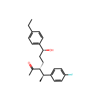 CCc1ccc([C@@H](O)CC[C@@H](C(C)=O)[C@H](C)c2ccc(F)cc2)cc1